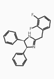 Fc1cccc(CC2=N[C@@H](c3ccccc3)[C@@H](c3ccccc3)N2)c1F